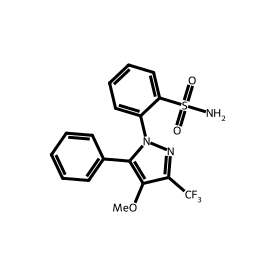 COc1c(C(F)(F)F)nn(-c2ccccc2S(N)(=O)=O)c1-c1ccccc1